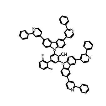 N#Cc1c(-n2c3ccc(-c4ccnc(-c5ccccc5)c4)cc3c3cc(-c4ccnc(-c5ccccc5)c4)ccc32)cc(-c2c(F)cccc2F)cc1-n1c2ccc(-c3ccnc(-c4ccccc4)c3)cc2c2cc(-c3ccnc(-c4ccccc4)c3)ccc21